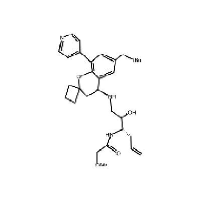 C=CC[C@H](NC(=O)COC)[C@H](O)CN[C@H]1CC2(CCC2)Oc2c(-c3ccncc3)cc(CC(C)(C)C)cc21